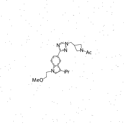 COCCn1cc(C(C)C)c2cc(-c3ncn(CC4CN(C(C)=O)C4)n3)ccc21